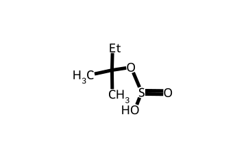 CCC(C)(C)OS(=O)O